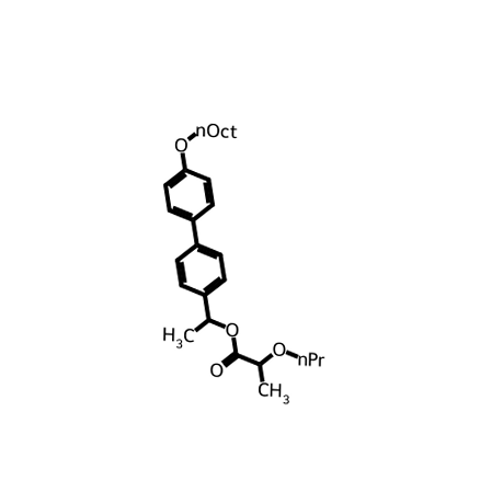 CCCCCCCCOc1ccc(-c2ccc(C(C)OC(=O)C(C)OCCC)cc2)cc1